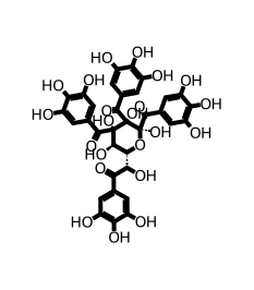 O=C(c1cc(O)c(O)c(O)c1)C(O)[C@H]1O[C@](O)(C(=O)c2cc(O)c(O)c(O)c2)[C@@](O)(C(=O)c2cc(O)c(O)c(O)c2)[C@](O)(C(=O)c2cc(O)c(O)c(O)c2)[C@@H]1O